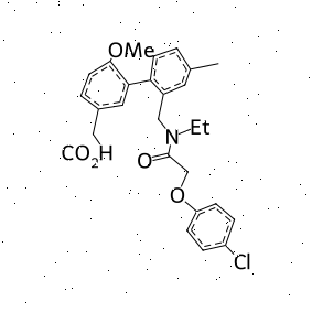 CCN(Cc1cc(C)ccc1-c1cc(CC(=O)O)ccc1OC)C(=O)COc1ccc(Cl)cc1